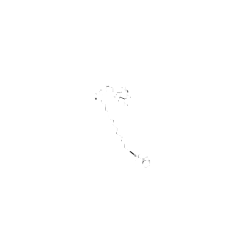 C[C@H](Cn1cnc2c(N)ncnc21)OCP(=O)(O)OCCCSCCCCCCCCCC#C[Si](C)(C)C1CC2CCC1C2